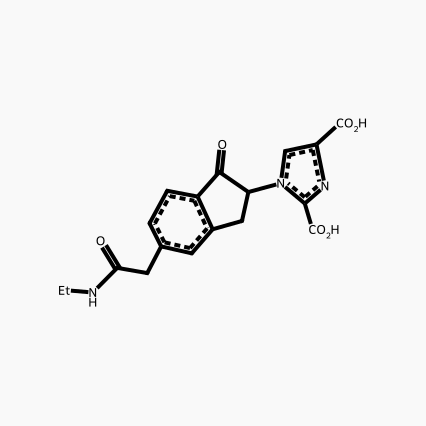 CCNC(=O)Cc1ccc2c(c1)CC(n1cc(C(=O)O)nc1C(=O)O)C2=O